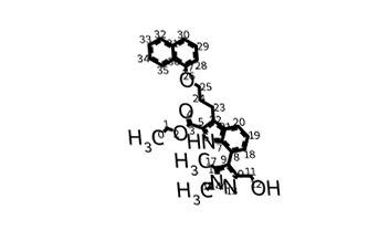 CCOC(=O)c1[nH]c2c(-c3c(CO)nn(C)c3C)cccc2c1CCCOc1cccc2ccccc12